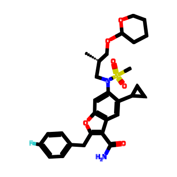 C[C@H](COC1CCCCO1)CN(c1cc2oc(Cc3ccc(F)cc3)c(C(N)=O)c2cc1C1CC1)S(C)(=O)=O